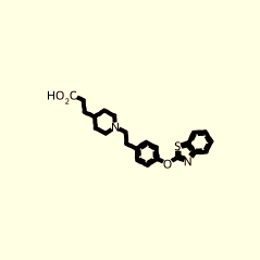 O=C(O)CCC1CCN(CCc2ccc(Oc3nc4ccccc4s3)cc2)CC1